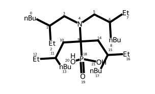 CCCCC(CC)CN(CC(CC)CCCC)C(CC(CC)CCCC)(CC(CC)CCCC)P(=O)(O)O